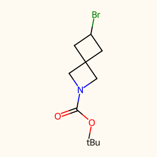 CC(C)(C)OC(=O)N1CC2(CC(Br)C2)C1